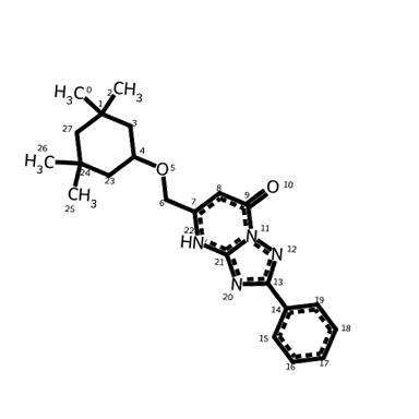 CC1(C)CC(OCc2cc(=O)n3nc(-c4ccccc4)nc3[nH]2)CC(C)(C)C1